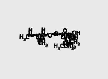 CNCCN(CNC)CC(=O)NCCOCCOCCNC(=O)[C@H](CC(O)O)NC(=O)[C@H](CC(C)C)N(C)[C@@H](C)O